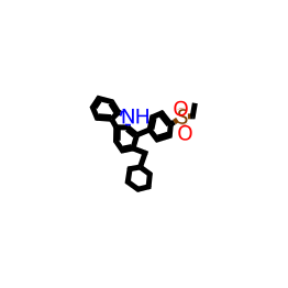 CCS(=O)(=O)c1ccc(-c2c(CC3CCCCC3)ccc3c2[nH]c2ccccc23)cc1